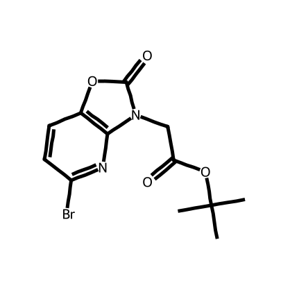 CC(C)(C)OC(=O)Cn1c(=O)oc2ccc(Br)nc21